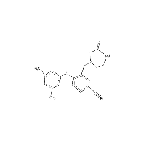 Cc1cc(C)cc(Sc2ccc(C#N)cc2CN2CCNC(=O)C2)c1